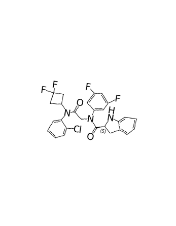 O=C([C@@H]1Cc2ccccc2N1)N(CC(=O)N(c1ccccc1Cl)C1CC(F)(F)C1)c1cc(F)cc(F)c1